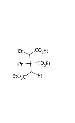 CCOC(=O)C(CC)C(C(=O)OCC)(C(C)C)C(CC)C(=O)OCC